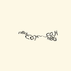 CCCCC(CCCCCCCCC(CCCC)C(=O)O)C(=O)O